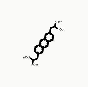 CCCCCCCCC(CCCCCCCC)Cc1ccc2cc3cc(CC(CCCCCCCC)CCCCCCCC)ccc3cc2c1